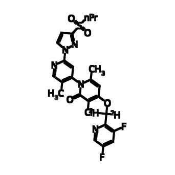 [2H]C([2H])(Oc1cc(C)n(-c2cc(-n3ccc(S(=O)(=O)CCC)n3)ncc2C)c(=O)c1Cl)c1ncc(F)cc1F